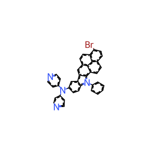 Brc1ccc2ccc3c4c(ccc1c24)cc1c2cc(N(c4ccncc4)c4ccncc4)ccc2n(-c2ccccc2)c13